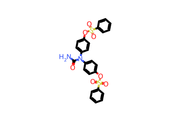 NC(=O)N(c1ccc(OS(=O)(=O)c2ccccc2)cc1)c1ccc(OS(=O)(=O)c2ccccc2)cc1